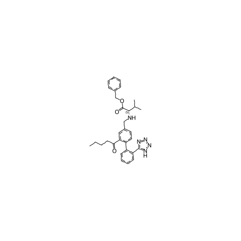 CCCCC(=O)c1cc(CN[C@H](C(=O)OCc2ccccc2)C(C)C)ccc1-c1ccccc1-c1nnn[nH]1